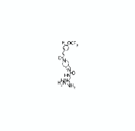 N/C=C(/CNC(=O)N1CC2CCN(C(=O)/C=C/c3ccc(OC(F)(F)F)c(F)c3)CCC2C1)NN